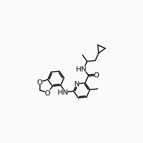 Cc1ccc(Nc2cccc3c2OCO3)nc1C(=O)NC(C)CC1CC1